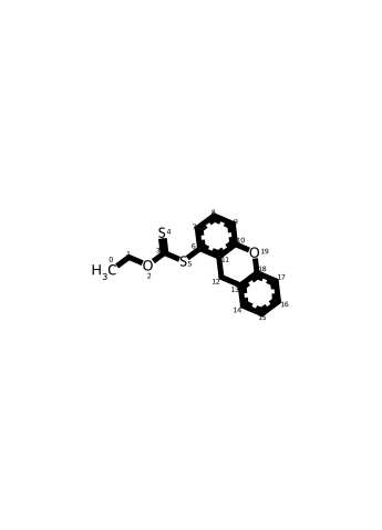 CCOC(=S)Sc1cccc2c1Cc1ccccc1O2